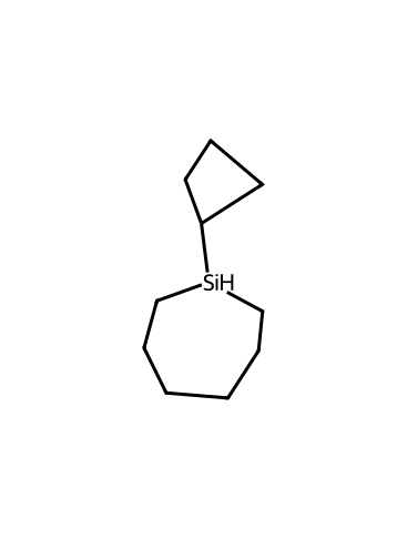 C1CCC[SiH](C2CCC2)CC1